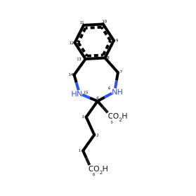 O=C(O)CCCC1(C(=O)O)NCc2ccccc2CN1